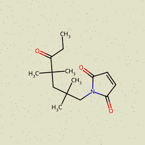 CCC(=O)C(C)(C)CC(C)(C)CN1C(=O)C=CC1=O